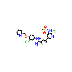 C=N/C(Nc1ccc(OCc2ccccn2)c(Cl)c1)=C(C)/C=C(\C)c1cnc(Cl)c(NS(C)(=O)=O)c1